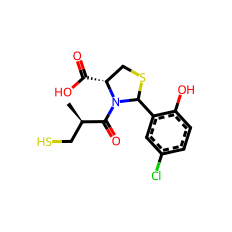 C[C@H](CS)C(=O)N1C(c2cc(Cl)ccc2O)SC[C@H]1C(=O)O